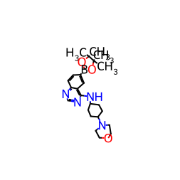 CC1(C)OB(c2ccc3ncnc(NC4CCC(N5CCOCC5)CC4)c3c2)OC1(C)C